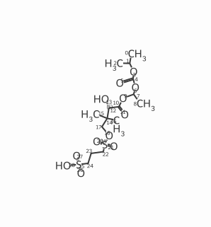 CC(C)OC(=O)OC(C)OC(=O)[C@@H](O)C(C)(C)COS(=O)(=O)CCCS(=O)(=O)O